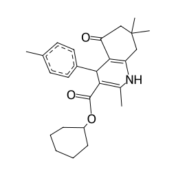 CC1=C(C(=O)OC2CCCCC2)C(c2ccc(C)cc2)C2=C(CC(C)(C)CC2=O)N1